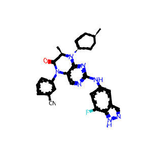 C[C@@H]1C(=O)N(c2cccc(C#N)c2)c2cnc(Nc3cc(F)c4[nH]ncc4c3)nc2N1[C@H]1CC[C@H](C)CC1